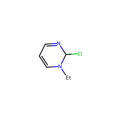 CCN1C=CC=NC1Cl